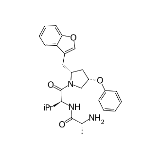 CC(C)[C@H](NC(=O)[C@@H](C)N)C(=O)N1C[C@@H](Oc2ccccc2)C[C@H]1Cc1coc2ccccc12